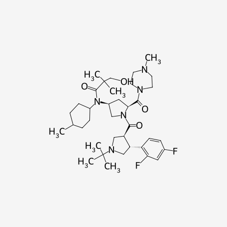 CC1CCC(N(C(=O)C(C)(C)CO)[C@H]2C[C@@H](C(=O)N3CCN(C)CC3)N(C(=O)[C@@H]3CN(C(C)(C)C)C[C@H]3c3ccc(F)cc3F)C2)CC1